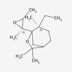 CC[C@@]1(C)CCC2CC1([C@@]1(C)OC1C)OC2(C)C